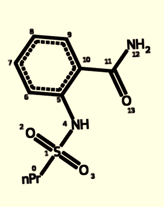 CCCS(=O)(=O)Nc1ccccc1C(N)=O